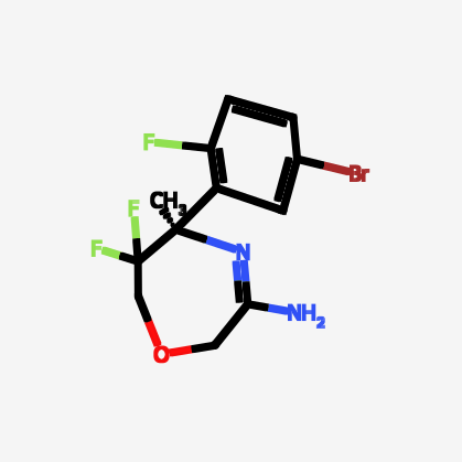 C[C@]1(c2cc(Br)ccc2F)N=C(N)COCC1(F)F